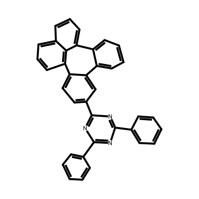 c1ccc(-c2nc(-c3ccccc3)nc(-c3ccc4c(c3)-c3ccccc3-c3cccc5cccc-4c35)n2)cc1